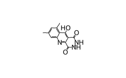 Cc1cc(C)c2c(O)c3c(=O)[nH][nH]c(=O)c3nc2c1